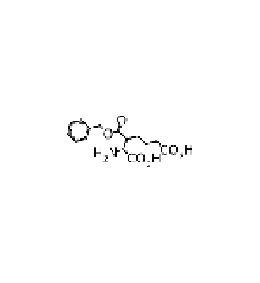 NC(C(=O)O)C(CCCC(=O)O)C(=O)OCc1ccccc1